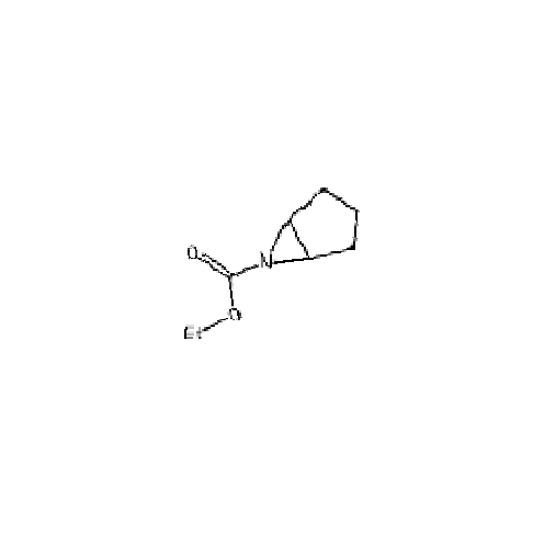 CCOC(=O)N1C2CCCC21